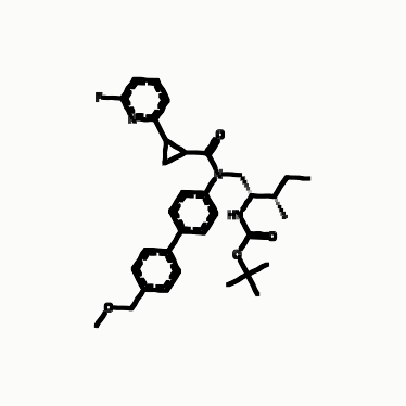 CC[C@H](C)[C@@H](CN(C(=O)C1CC1c1cccc(F)n1)c1ccc(-c2ccc(COC)cc2)cc1)NC(=O)OC(C)(C)C